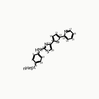 CCCCCCCc1ccc(Nc2nc(-c3ccc(-c4ccccn4)s3)cs2)cc1